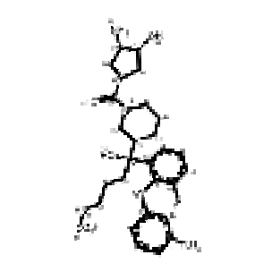 Cc1cccc(Oc2c(F)cccc2[C@](O)(CCCNC(=O)O)[C@@H]2CCCN(C(=O)[C@H]3C[C@@H](N)[C@@H](O)C3)C2)c1